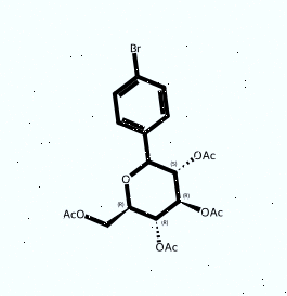 CC(=O)OC[C@H]1OC(c2ccc(Br)cc2)[C@H](OC(C)=O)[C@@H](OC(C)=O)[C@@H]1OC(C)=O